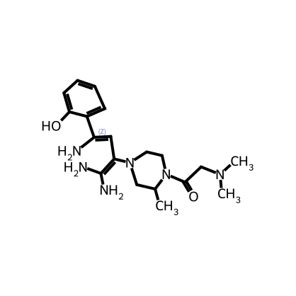 CC1CN(C(/C=C(\N)c2ccccc2O)=C(N)N)CCN1C(=O)CN(C)C